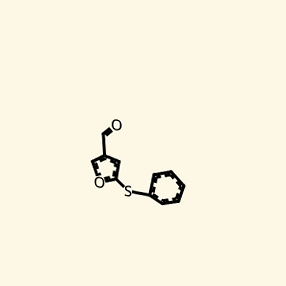 O=Cc1coc(Sc2ccccc2)c1